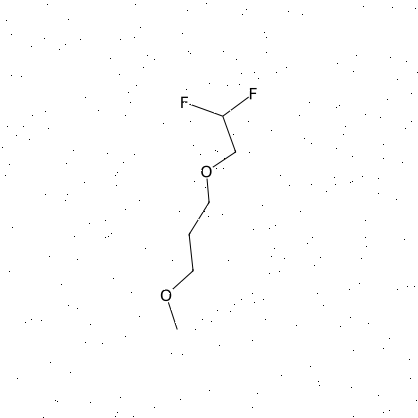 COCCCOCC(F)F